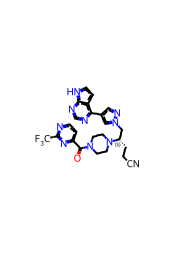 N#CCC[C@@H](Cn1cc(-c2ncnc3[nH]ccc23)cn1)N1CCN(C(=O)c2ccnc(C(F)(F)F)n2)CC1